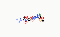 NC[C@@H]1OC(=O)N2c3ccc(S(=O)(=O)N4CCN(c5cc(S(=O)(=O)C6CC6)cc(Cl)n5)CC4)cc3OC[C@H]12